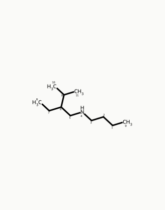 CCCCNCC(CC)C(C)C